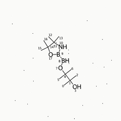 CC(C)(O)C(C)(C)OBB1NC(C)(C)C(C)(C)O1